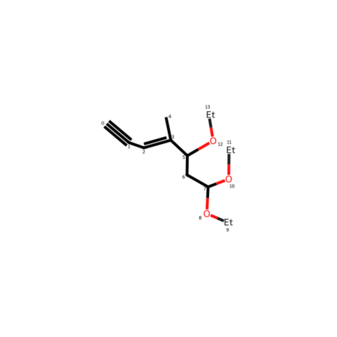 C#CC=C(C)C(CC(OCC)OCC)OCC